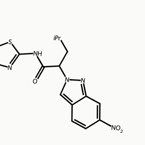 CC(C)CC(C(=O)Nc1nccs1)n1cc2ccc([N+](=O)[O-])cc2n1